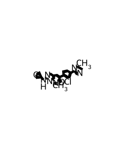 Cc1cncc(-c2ccc(-c3cc4cnc(NC5COC5)nc4n(C)c3=O)c(Cl)c2)n1